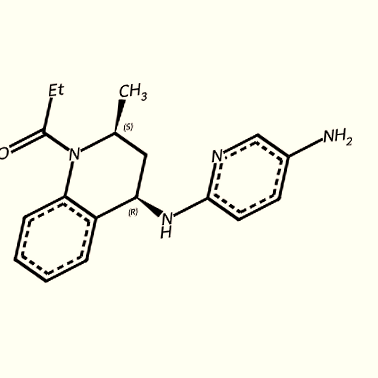 CCC(=O)N1c2ccccc2[C@H](Nc2ccc(N)cn2)C[C@@H]1C